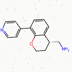 NC[C@@H]1CCOc2c(-c3ccncc3)cccc21